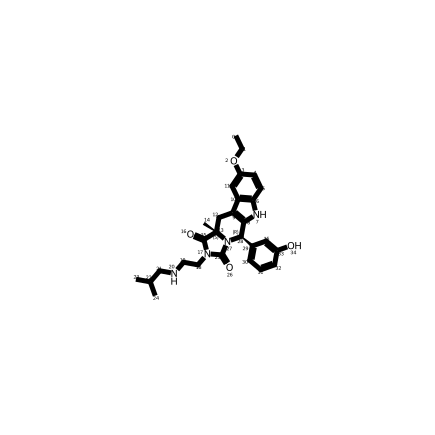 CCOc1ccc2[nH]c3c(c2c1)C[C@@]1(C)C(=O)N(CCNCC(C)C)C(=O)N1[C@@H]3c1cccc(O)c1